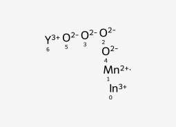 [In+3].[Mn+2].[O-2].[O-2].[O-2].[O-2].[Y+3]